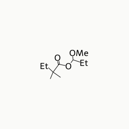 CCC(OC)OC(=O)C(C)(C)CC